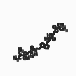 C=C(C)C(=O)OCCNC(=O)NCCC12CCC(C1)C1C(CCNC(=O)NCCOC(O)C(=C)C)CCC12